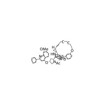 COc1ccc2c(O[C@@H]3C[C@@H](C(=O)N[C@]45C[C@H]4/C=C/CCCCCCOc4cccc(c4)S(=O)(=O)NC5=O)N(C(C)=O)C3)cc(-c3ccccc3)nc2c1